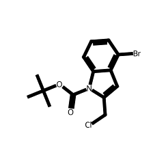 CC(C)(C)OC(=O)n1c(CCl)cc2c(Br)cccc21